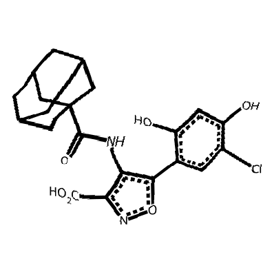 O=C(O)c1noc(-c2cc(Cl)c(O)cc2O)c1NC(=O)C12CC3CC(CC(C3)C1)C2